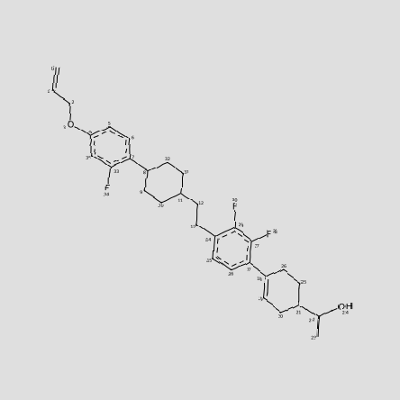 C=CCOc1ccc(C2CCC(CCc3ccc(C4=CCC(C(C)O)CC4)c(F)c3F)CC2)c(F)c1